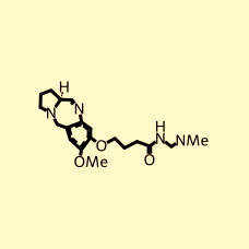 CNCNC(=O)CCCOc1cc2c(cc1OC)CN1CCC[C@H]1C=N2